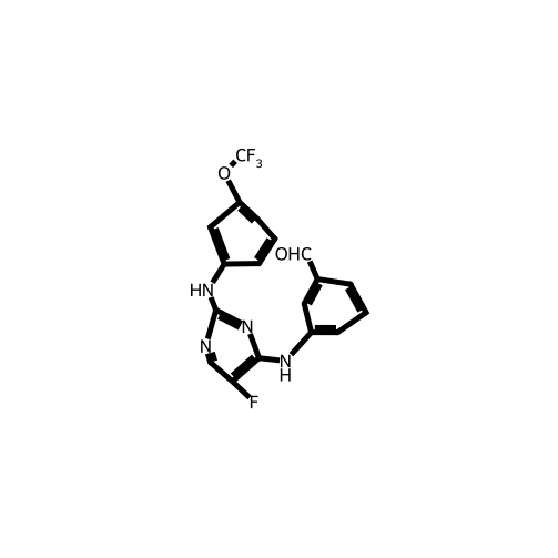 O=Cc1cccc(Nc2nc(Nc3cccc(OC(F)(F)F)c3)ncc2F)c1